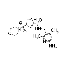 Cc1cc(N)nc(C)c1CNC(=O)C1=CC(S(=O)(=O)N2CCOCC2)CN1